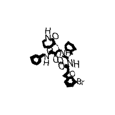 O=C(NCc1ccccc1)C(=O)[C@H](C[C@@H]1CCCNC1=O)NC(=O)[C@H](CC1CCCCC1)NC(=O)c1cc2cccc(Br)c2o1